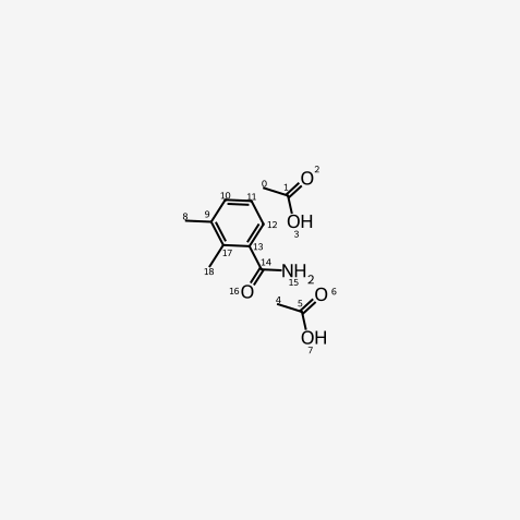 CC(=O)O.CC(=O)O.Cc1cccc(C(N)=O)c1C